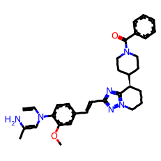 C=CN(/C=C(/C)N)c1ccc(/C=C/c2nc3n(n2)CCC[C@@H]3C2CCN(C(=O)c3ccccc3)CC2)cc1OC